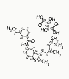 CCc1cccc(C(=O)Nc2ccc3sc(C)c(CCN(C)CC(C)C)c3c2)c1.O=C(O)C(O)C(O)C(=O)O